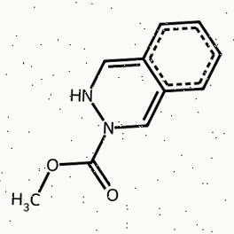 COC(=O)N1C=c2ccccc2=CN1